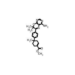 COC(=O)C1=CCC(C)(c2ccc(C3=Nc4c(N)ncnc4OC3(C)C)cc2)CC1